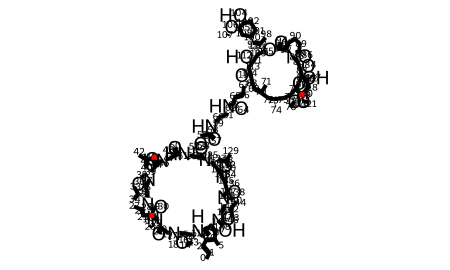 C/C=C/CC(C)[C@@H](O)C1C(=O)N[C@H](CC)C(=O)N(C)CC(=O)N(C)[C@@H]2CC(C)N(C2=O)[C@H](C(C)C)C(=O)N(C)[C@H](CC(C)C)C(=O)N[C@H](C)C(=O)N[C@@H](COCC(=O)NCCCNC(=O)C=CC[C@H]2/C=C(\C)C[C@@H](C)C[C@@H](OC)[C@@H]3O[C@](O)(C(=O)C(=O)N4CCCCC4C(=O)O[C@@H](/C(C)=C/[C@@H]4CC[C@H](O)[C@@H](OC)C4)[C@@H](C)[C@H](O)CC2=O)[C@@H](C)C[C@H]3OC)C(=O)N(C)[C@H](CC(C)C)C(=O)N(C)[C@H](C)C(=O)N(C)[C@H](C(C)C)C(=O)N1C